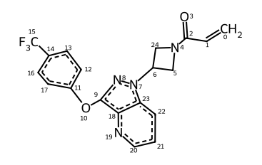 C=CC(=O)N1CC(n2nc(Oc3ccc(C(F)(F)F)cc3)c3ncccc32)C1